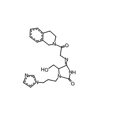 O=C(CN=C1NC(=O)N(CCCn2ccnc2)C1CO)N1CCc2ccccc2C1